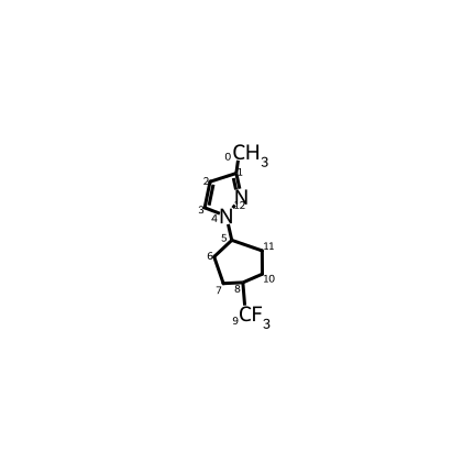 Cc1ccn(C2CCC(C(F)(F)F)CC2)n1